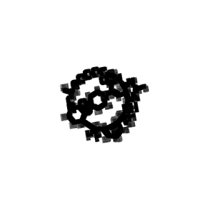 Cc1nc2c3cc(N4CCS(=O)(=O)CC4)c(=O)n(c3n1)CCCCCCC(C)CN1CCC(CC1)C(F)(F)c1cccc(c1F)[C@@H](C)N2